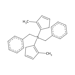 CC1=[C]([Ti]([CH2]c2ccccc2)([CH2]c2ccccc2)[C]2=C(C)C=CC2)CC=C1